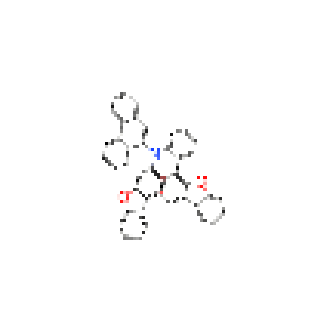 c1ccc(N(c2ccc3c(c2)oc2ccccc23)c2cc3ccccc3c3ccccc23)c(-c2cccc3c2oc2ccccc23)c1